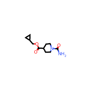 NC(=O)N1CCC(C(=O)OCC2CC2)CC1